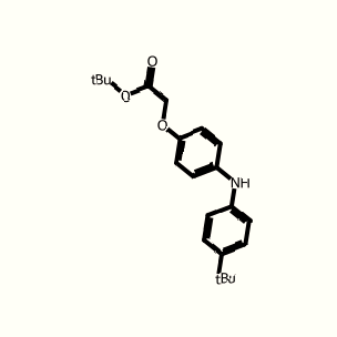 CC(C)(C)OC(=O)COc1ccc(Nc2ccc(C(C)(C)C)cc2)cc1